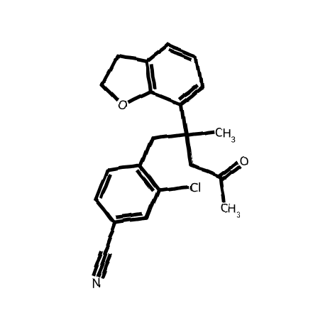 CC(=O)CC(C)(Cc1ccc(C#N)cc1Cl)c1cccc2c1OCC2